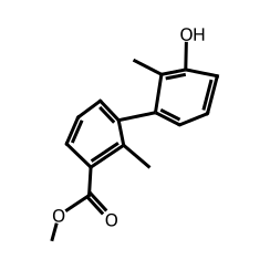 COC(=O)c1cccc(-c2cccc(O)c2C)c1C